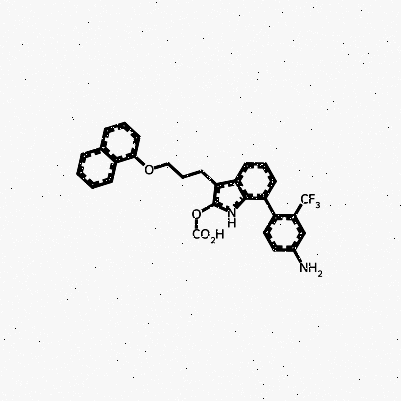 Nc1ccc(-c2cccc3c(CCCOc4cccc5ccccc45)c(OC(=O)O)[nH]c23)c(C(F)(F)F)c1